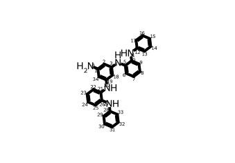 Nc1cc(Nc2ccccc2Nc2ccccc2)cc(Nc2ccccc2Nc2ccccc2)c1